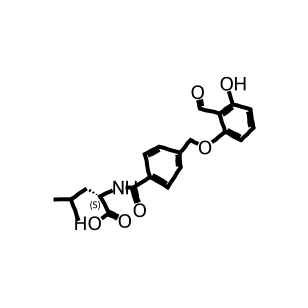 CC(C)C[C@H](NC(=O)c1ccc(COc2cccc(O)c2C=O)cc1)C(=O)O